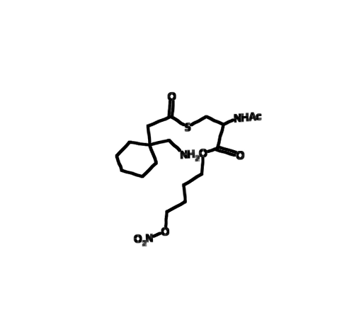 CC(=O)NC(CSC(=O)CC1(CN)CCCCC1)C(=O)OCCCCO[N+](=O)[O-]